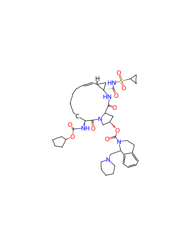 O=C(N[C@H]1CCCCC/C=C\[C@@H]2C[C@@]2(C(=O)NS(=O)(=O)C2CC2)NC(=O)C2C[C@@H](OC(=O)N3CCc4ccccc4C3CN3CCCCC3)CN2C1=O)OC1CCCC1